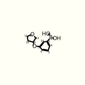 OB(O)c1cccc(OC2CCOC2)c1